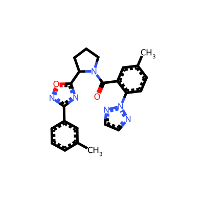 Cc1cccc(-c2noc(C3CCCN3C(=O)c3cc(C)ccc3-n3nccn3)n2)c1